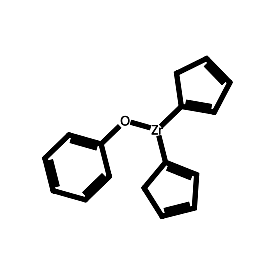 C1=CC[C]([Zr]([O]c2ccccc2)[C]2=CC=CC2)=C1